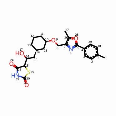 Cc1ccc(-c2nc(CO[C@@H]3CCC[C@H](CC(O)C4SC(=O)NC4=O)C3)c(C)o2)cc1